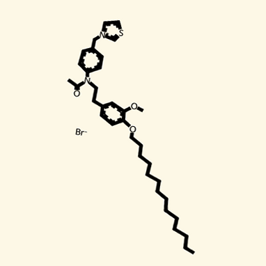 CCCCCCCCCCCCCCOc1ccc(CCN(C(C)=O)c2ccc(C[n+]3ccsc3)cc2)cc1OC.[Br-]